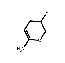 NC1=CCC(F)CO1